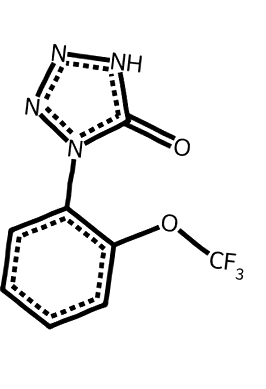 O=c1[nH]nnn1-c1ccccc1OC(F)(F)F